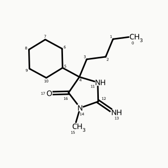 CCCCC1(C2CCCCC2)NC(=N)N(C)C1=O